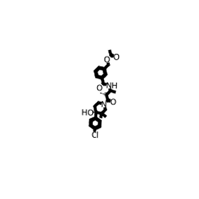 CC(=O)OCc1cccc(C(=O)NC(C)[C@@H](C)C(=O)N2CC[C@](O)(c3ccc(Cl)cc3)C(C)(C)C2)c1